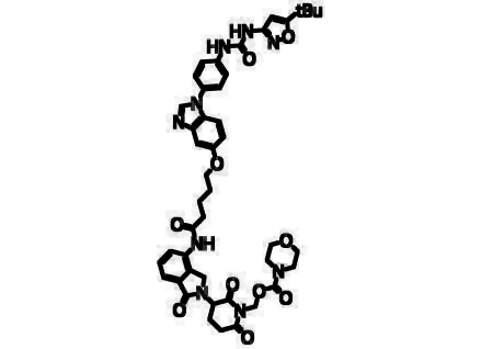 CC(C)(C)c1cc(NC(=O)Nc2ccc(-n3cnc4cc(OCCCCC(=O)Nc5cccc6c5CN(C5CCC(=O)N(COC(=O)N7CCOCC7)C5=O)C6=O)ccc43)cc2)no1